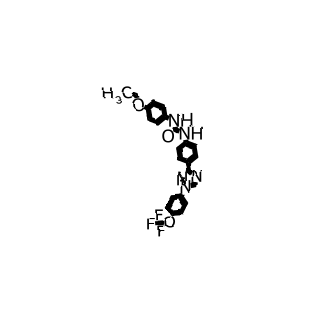 CCOc1ccc(NC(=O)Nc2ccc(-c3ncn(-c4ccc(OC(F)(F)F)cc4)n3)cc2)cc1